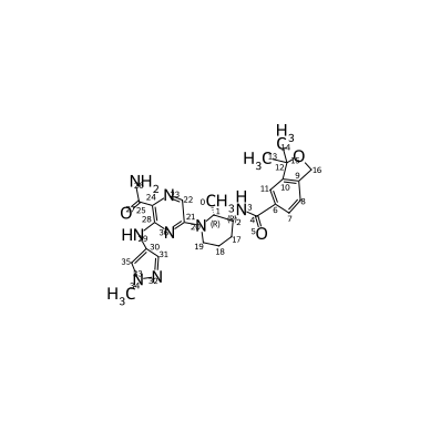 C[C@@H]1[C@H](NC(=O)c2ccc3c(c2)C(C)(C)OC3)CCCN1c1cnc(C(N)=O)c(Nc2cnn(C)c2)n1